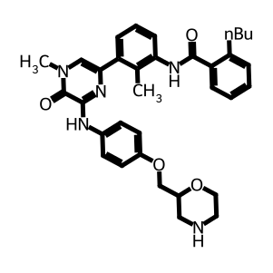 CCCCc1ccccc1C(=O)Nc1cccc(-c2cn(C)c(=O)c(Nc3ccc(OCC4CNCCO4)cc3)n2)c1C